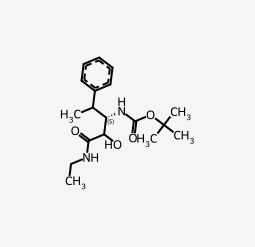 CCNC(=O)C(O)[C@@H](NC(=O)OC(C)(C)C)C(C)c1ccccc1